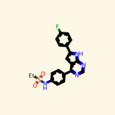 CCS(=O)(=O)Nc1ccc(-c2ncnc3[nH]c(-c4ccc(F)cc4)cc23)cc1